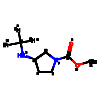 [2H]C([2H])(N[C@H]1CCN(C(=O)OC(C)(C)C)C1)C(C)C